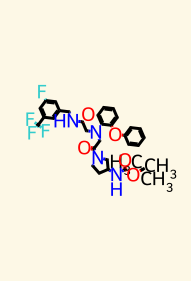 CC(C)(C)OC(=O)NC1CCN(C(=O)CN(CC(=O)NCc2cc(F)cc(C(F)(F)F)c2)c2ccccc2Oc2ccccc2)C1